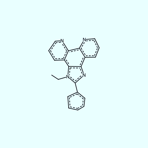 CCn1c(-c2ccccc2)nc2c3cccnc3c3ncccc3c21